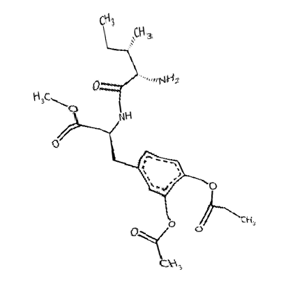 CC[C@H](C)[C@H](N)C(=O)N[C@@H](Cc1ccc(OC(C)=O)c(OC(C)=O)c1)C(=O)OC